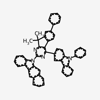 CC1(C)c2cc(-c3ccccc3)ccc2-c2c(-c3ccc4c(c3)c3ccccc3n4-c3ccccc3)nc(-n3c4ccccc4c4cc5ccccc5cc43)nc21